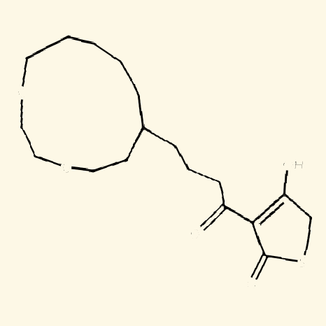 O=C(CCCC1CCCCCCCCCCC1)C1=C(O)CSC1=O